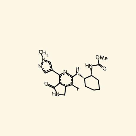 COC(=O)N[C@H]1CCCC[C@H]1Nc1nc(-c2cnn(C)c2)c2c(c1F)CNC2=O